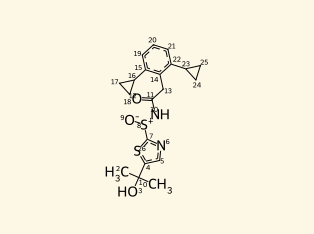 CC(C)(O)c1cnc([S+]([O-])NC(=O)Cc2c(C3CC3)cccc2C2CC2)s1